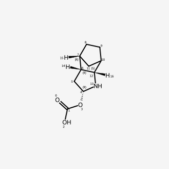 O=C(O)O[C@@H]1C[C@@H]2[C@@H]3CCC(C3)[C@@H]2N1